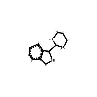 c1ccc2c(c1)CNC2[C]1SCCCS1